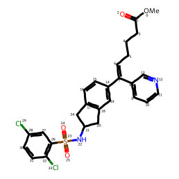 COC(=O)CCC/C=C(\c1cccnc1)c1ccc2c(c1)CC(NS(=O)(=O)c1cc(Cl)ccc1Cl)C2